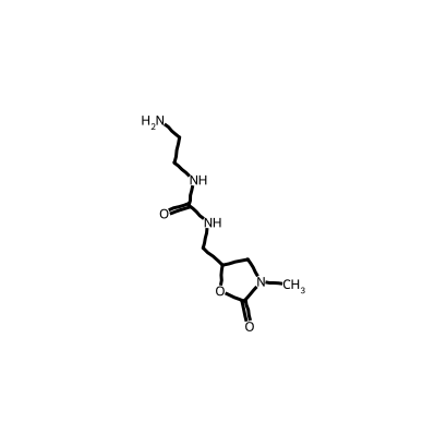 CN1CC(CNC(=O)NCCN)OC1=O